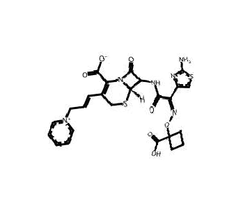 Nc1nc(/C(=N/OC2(C(=O)O)CCC2)C(=O)NC2C(=O)N3C(C(=O)[O-])=C(/C=C/C[n+]4ccccc4)CS[C@@H]23)cs1